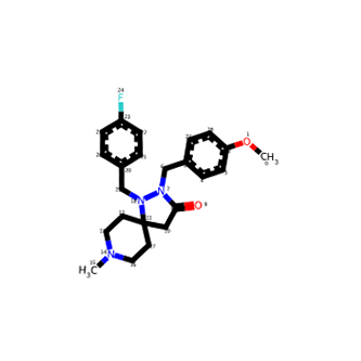 COc1ccc(CN2C(=O)CC3(CCN(C)CC3)N2Cc2ccc(F)cc2)cc1